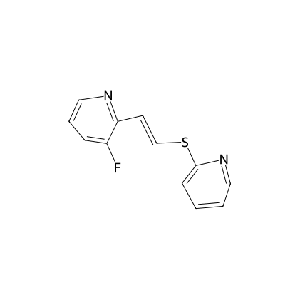 Fc1cccnc1/C=C/Sc1ccccn1